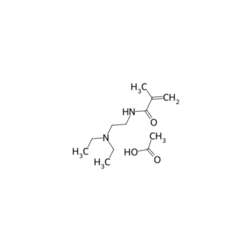 C=C(C)C(=O)NCCN(CC)CC.CC(=O)O